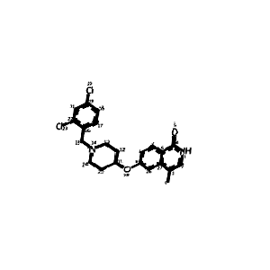 Cc1c[nH]c(=O)c2ccc(OC3CCN(Cc4ccc(Cl)cc4Cl)CC3)cc12